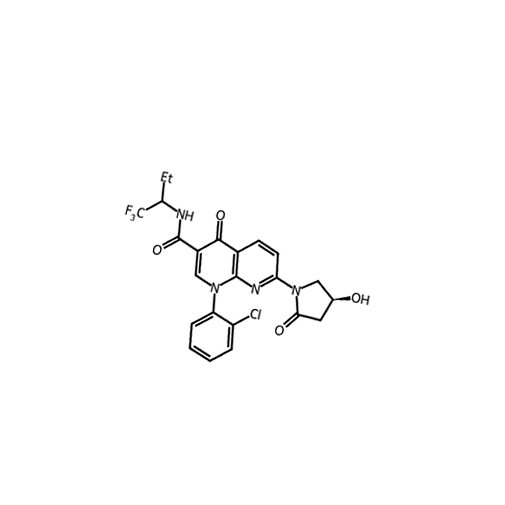 CCC(NC(=O)c1cn(-c2ccccc2Cl)c2nc(N3C[C@@H](O)CC3=O)ccc2c1=O)C(F)(F)F